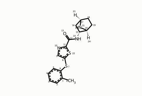 Cc1ccccc1Sc1cnc(C(=O)N[C@@H]2C[C@H]3CC[C@@H]2N3)s1